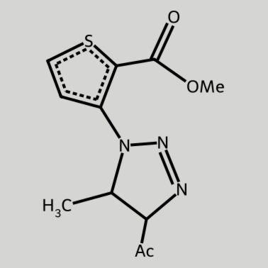 COC(=O)c1sccc1N1N=NC(C(C)=O)C1C